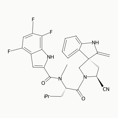 C=C1Nc2ccccc2[C@@]12C[C@@H](C#N)N(C(=O)[C@H](CC(C)C)N(C)C(=O)c1cc3c(F)cc(F)c(F)c3[nH]1)C2